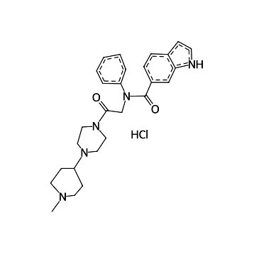 CN1CCC(N2CCN(C(=O)CN(C(=O)c3ccc4cc[nH]c4c3)c3ccccc3)CC2)CC1.Cl